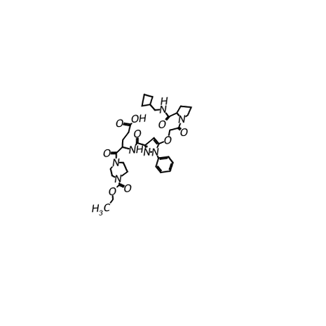 CCOC(=O)N1CCN(C(=O)C(CCC(=O)O)NC(=O)c2cc(OCC(=O)N3CCCC3C(=O)NCC3CCC3)n(-c3ccccc3)n2)CC1